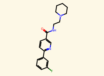 O=C(NCCN1CCCCC1)c1ccc(-c2cccc(F)c2)nc1